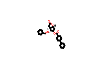 O=C1C[C@@H]2[C@@H](COCc3ccccc3)[C@H](OC(=O)c3ccc(-c4ccccc4)cc3)C[C@@H]2O1